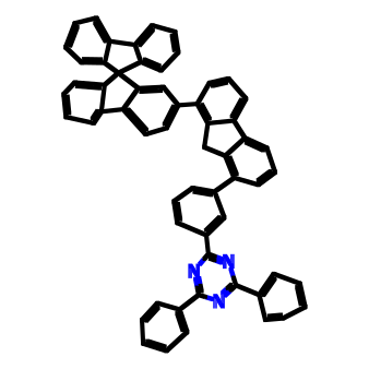 c1ccc(-c2nc(-c3ccccc3)nc(-c3cccc(-c4cccc5c4Cc4c(-c6ccc7c(c6)C6(c8ccccc8-c8ccccc86)c6ccccc6-7)cccc4-5)c3)n2)cc1